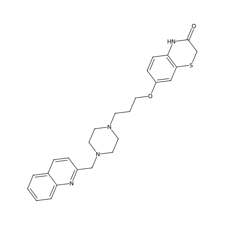 O=C1CSc2cc(OCCCN3CCN(Cc4ccc5ccccc5n4)CC3)ccc2N1